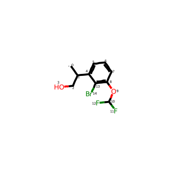 [CH2]C(CO)c1cccc(OC(F)F)c1Br